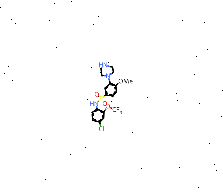 COc1ccc(S(=O)(=O)Nc2ccc(Cl)cc2OC(F)(F)F)cc1N1CCNCC1